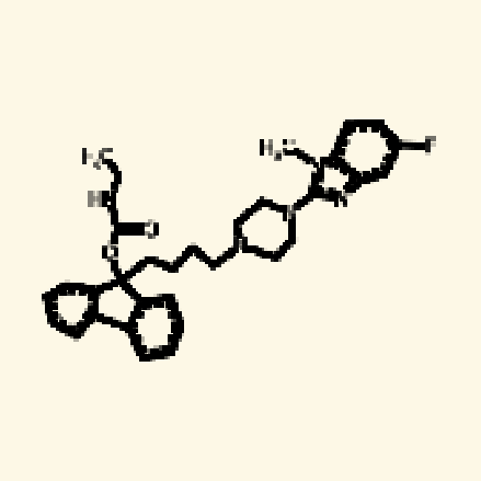 Cn1c(N2CCN(CCCCC3(OC(=O)NCC(F)(F)F)c4ccccc4-c4ccccc43)CC2)nc2cc(F)ccc21